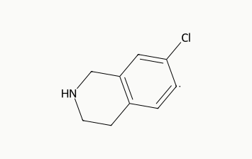 Clc1[c]cc2c(c1)CNCC2